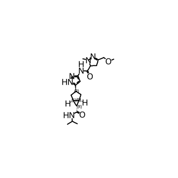 COCC1=NN(C)C(C(=O)Nc2cc([C@H]3C[C@@H]4[C@H](C3)[C@H]4C(=O)NC(C)C)[nH]n2)C1